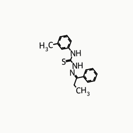 CCC(=NNC(=S)Nc1cccc(C)c1)c1ccccc1